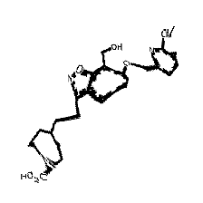 N#Cc1cccc(COc2ccc3c(CCC4CCN(C(=O)O)CC4)noc3c2CO)n1